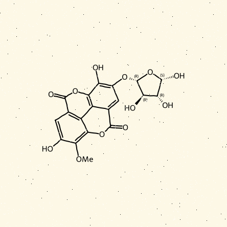 COc1c(O)cc2c(=O)oc3c(O)c(O[C@@H]4O[C@H](O)[C@H](O)[C@H]4O)cc4c(=O)oc1c2c34